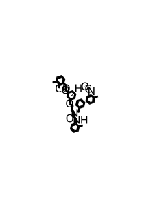 Cc1ccccc1N=C=O.Cc1ccccc1NC(=O)N(CCOC1CCCC(OCc2cccc(C)c2C(=O)O)C1)Cc1ccccc1